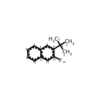 CC(C)(C)c1cc2ccccc2cc1F